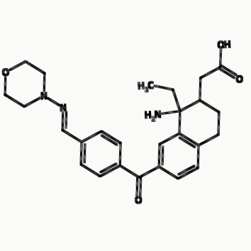 CCC1(N)c2cc(C(=O)c3ccc(C=NN4CCOCC4)cc3)ccc2CCC1CC(=O)O